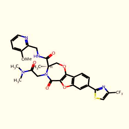 COc1cccnc1CNC(=O)[C@@]1(C)COc2c(oc3cc(-c4nc(C(F)(F)F)cs4)ccc23)C(=O)N1CC(=O)N(C)C